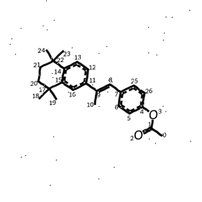 CC(=O)Oc1ccc(/C=C(\C)c2ccc3c(c2)C(C)(C)CCC3(C)C)cc1